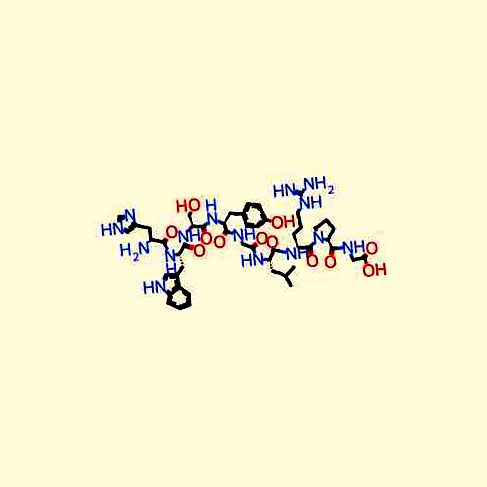 CC(C)C[C@H](NC(=O)CNC(=O)[C@H](Cc1ccc(O)cc1)NC(=O)[C@H](CO)NC(=O)[C@H](Cc1c[nH]c2ccccc12)NC(=O)[C@@H](N)Cc1c[nH]cn1)C(=O)N[C@@H](CCCNC(=N)N)C(=O)N1CCC[C@H]1C(=O)NCC(=O)O